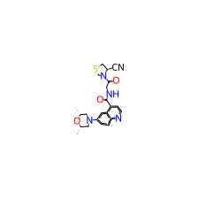 C[C@@H]1CN(c2ccc3nccc(C(=O)NCC(=O)N4CSC[C@H]4C#N)c3c2)C[C@H](C)O1